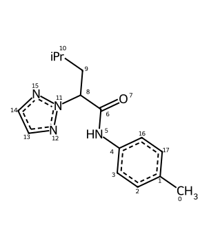 Cc1ccc(NC(=O)C(CC(C)C)n2nccn2)cc1